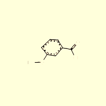 COc1cc[c]c(C(=O)O)c1